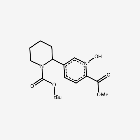 COC(=O)c1ccc(C2CCCCN2C(=O)OC(C)(C)C)c[n+]1O